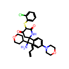 C=C/C=C\C(N)(C1CCOCC1)C1(c2ccc(N3CCOCC3)cc2)CC(=O)C(Sc2ccccc2Cl)C(=O)N1